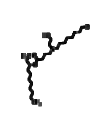 CCCCCCCCC(CC)OC(=O)CCCN(CCO)CCCCCCCC=O